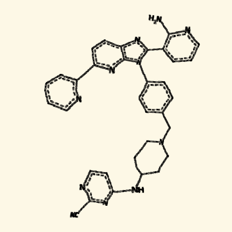 N#Cc1nccc(NC2CCN(Cc3ccc(-n4c(-c5cccnc5N)nc5ccc(-c6ccccn6)nc54)cc3)CC2)n1